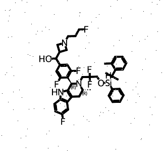 Cc1ccccc1C(C)(C)[SiH](OCC(F)(F)CN1[C@H](c2c(F)cc(C(O)C3CN(CCCF)C3)cc2F)c2[nH]c3ccc(F)cc3c2C[C@H]1C)c1ccccc1